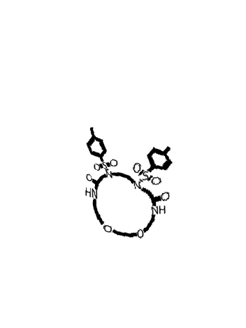 Cc1ccc(S(=O)(=O)N2CCN(S(=O)(=O)c3ccc(C)cc3)CC(=O)NCCOCCOCCNC(=O)C2)cc1